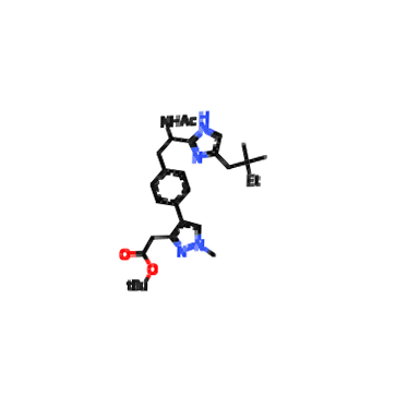 CCC(C)(C)Cc1c[nH]c(C(Cc2ccc(-c3cn(C)nc3CC(=O)OC(C)(C)C)cc2)NC(C)=O)n1